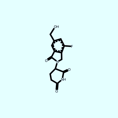 O=C1CCC(N2Cc3c(F)cc(CO)cc3C2=O)C(=O)N1